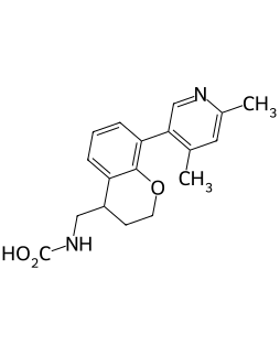 Cc1cc(C)c(-c2cccc3c2OCCC3CNC(=O)O)cn1